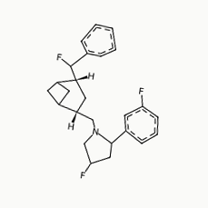 Fc1cccc(C2CC(F)CN2C[C@H]2C[C@@H](C(F)c3ccccc3)C3CC2C3)c1